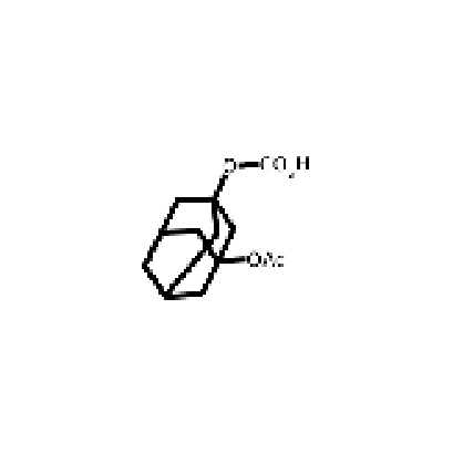 CC(=O)OC12CC3CC(C1)CC(OC(=O)O)(C3)C2